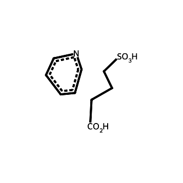 O=C(O)CCCS(=O)(=O)O.c1ccncc1